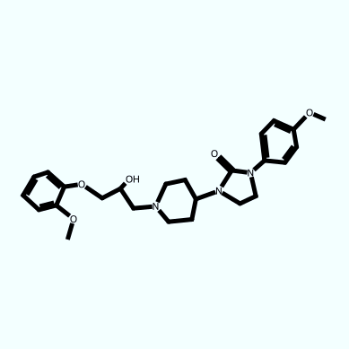 COc1ccc(N2CCN(C3CCN(CC(O)COc4ccccc4OC)CC3)C2=O)cc1